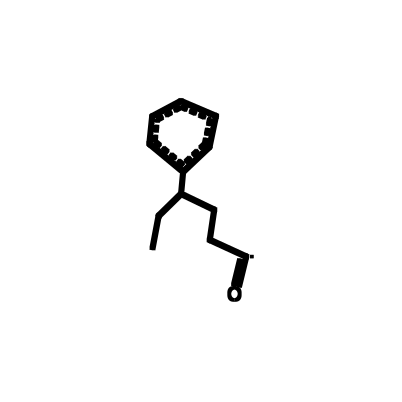 CCC(CC[C]=O)c1ccccc1